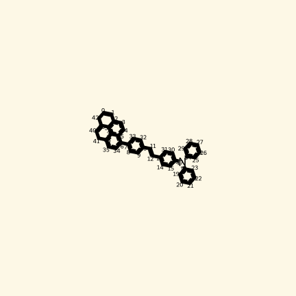 C1=Cc2ccc3c(-c4ccc(C=Cc5ccc(N(c6ccccc6)c6ccccc6)cc5)cc4)ccc4c3c2C(=CC4)C1